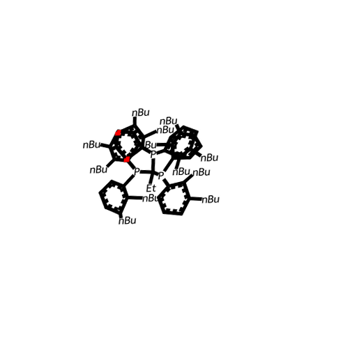 CCCCc1cccc(P(c2cccc(CCCC)c2CCCC)C(CC)(P(c2cccc(CCCC)c2CCCC)c2cccc(CCCC)c2CCCC)P(c2cccc(CCCC)c2CCCC)c2cccc(CCCC)c2CCCC)c1CCCC